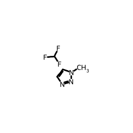 Cn1ccnn1.FC(F)F